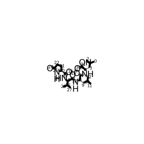 CC(C)C[C@H](NC(=O)[C@H](CC(C)C)NC(=O)[C@@H](NC(=O)[C@@H]1CCC(=O)N1)C(C)C)C(=O)O